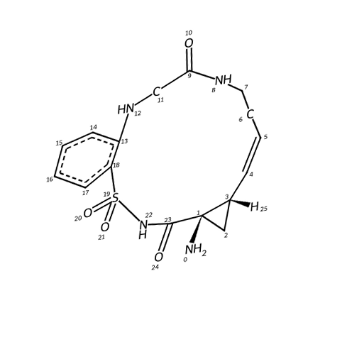 N[C@]12C[C@H]1/C=C\CCNC(=O)CNc1ccccc1S(=O)(=O)NC2=O